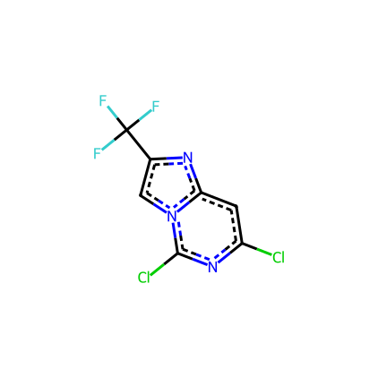 FC(F)(F)c1cn2c(Cl)nc(Cl)cc2n1